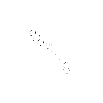 O=C(COC(=O)CCCc1c[nH]c2ccccc12)Nc1ccc2c(c1)C(=O)c1ccccc1C2=O